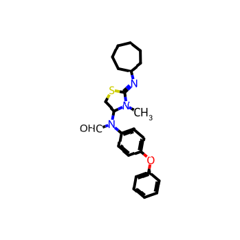 CN1C(=NC2CCCCCC2)SCC1N(C=O)c1ccc(Oc2ccccc2)cc1